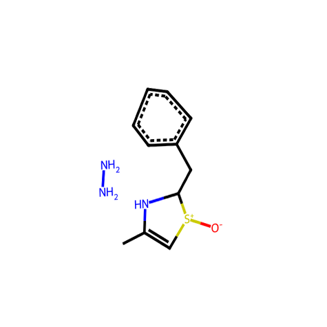 CC1=C[S+]([O-])C(Cc2ccccc2)N1.NN